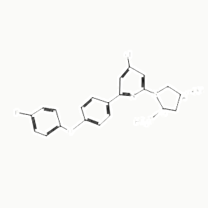 O=C(O)[C@@H]1C[C@@H](O)CN1c1cc(Cl)cc(-c2ccc(Oc3ccc(F)cc3)cc2)n1